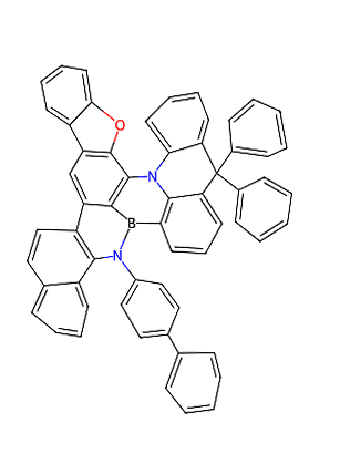 c1ccc(-c2ccc(N3B4c5cccc6c5N(c5ccccc5C6(c5ccccc5)c5ccccc5)c5c4c(cc4c5oc5ccccc54)-c4ccc5ccccc5c43)cc2)cc1